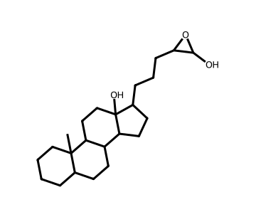 CC12CCCCC1CCC1C2CCC2(O)C(CCCC3OC3O)CCC12